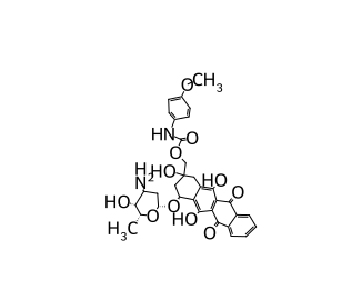 COc1ccc(NC(=O)OCC2(O)Cc3c(O)c4c(c(O)c3[C@@H](O[C@H]3C[C@H](N)[C@@H](O)[C@@H](C)O3)C2)C(=O)c2ccccc2C4=O)cc1